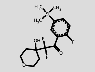 C[Si](C)(C)c1ccc(F)c(C(=O)C(F)(F)C2(O)CCOCC2)c1